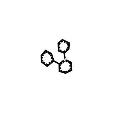 c1ccc(-c2cccc[n+]2-c2ccccc2)cc1